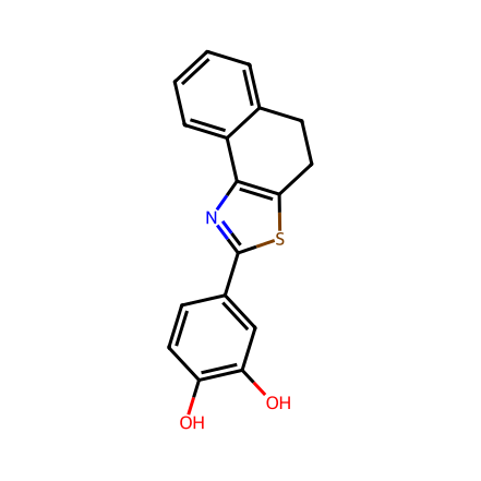 Oc1ccc(-c2nc3c(s2)CCc2ccccc2-3)cc1O